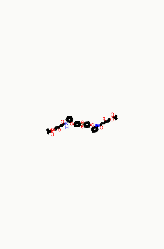 C=C(C)C(=O)OCCC(=O)CCC(=O)Nc1ccccc1Oc1ccc(S(=O)(=O)c2ccc(Oc3ccccc3NC(=O)CCC(=O)CCOC(=O)C(=C)C)cc2)cc1